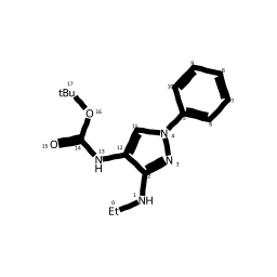 CCNc1nn(-c2ccccc2)cc1NC(=O)OC(C)(C)C